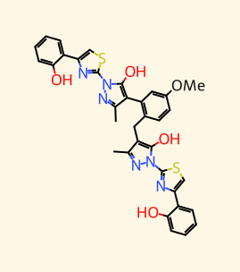 COc1ccc(Cc2c(C)nn(-c3nc(-c4ccccc4O)cs3)c2O)c(-c2c(C)nn(-c3nc(-c4ccccc4O)cs3)c2O)c1